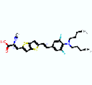 [C-]#[N+]/C(=C\c1cc2sc(/C=C/c3cc(F)c(N(CCCC)CCCC)c(F)c3)cc2s1)C(=O)O